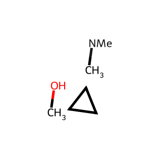 C1CC1.CNC.CO